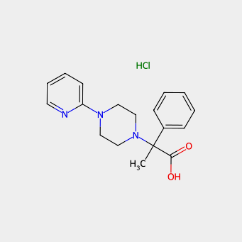 CC(C(=O)O)(c1ccccc1)N1CCN(c2ccccn2)CC1.Cl